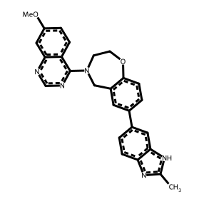 COc1ccc2c(N3CCOc4ccc(-c5ccc6nc(C)[nH]c6c5)cc4C3)ncnc2c1